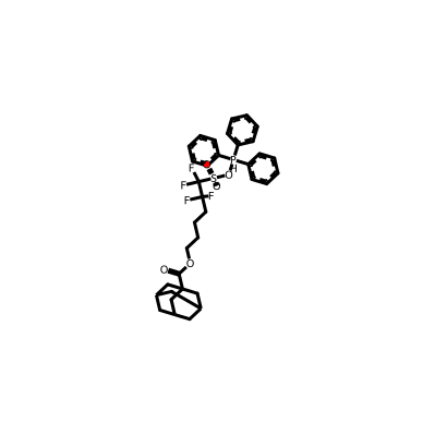 O=C(OCCCCC(F)(F)C(F)(F)S(=O)(=O)O[PH](c1ccccc1)(c1ccccc1)c1ccccc1)C12CC3CC(CC(C3)C1)C2